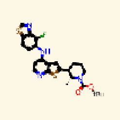 C[C@@H]1C(c2cc3c(Nc4ccc5scnc5c4F)ccnc3s2)CCCN1C(=O)OC(C)(C)C